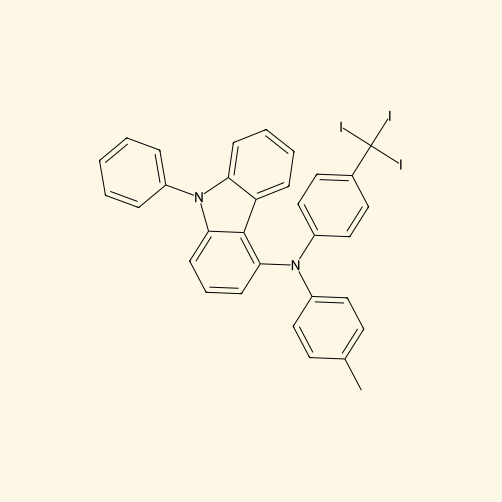 Cc1ccc(N(c2ccc(C(I)(I)I)cc2)c2cccc3c2c2ccccc2n3-c2ccccc2)cc1